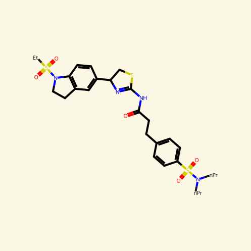 CCCN(CCC)S(=O)(=O)c1ccc(CCC(=O)NC2=NC(c3ccc4c(c3)CCN4S(=O)(=O)CC)CS2)cc1